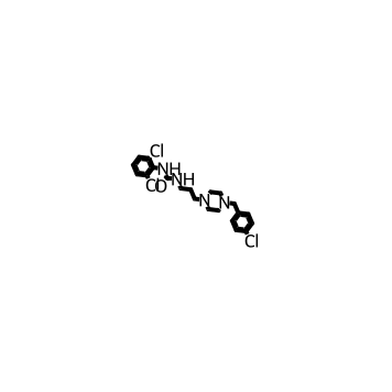 O=C(NCCCN1CCN(Cc2ccc(Cl)cc2)CC1)Nc1c(Cl)cccc1Cl